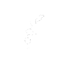 Cl.O=C(Cn1ccnc1)c1ccc2c(c1)Cc1cc(Br)ccc1-2